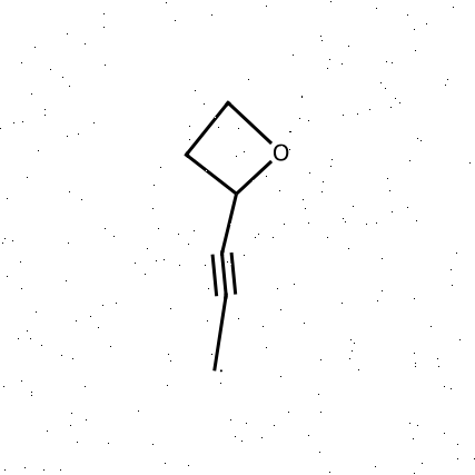 [CH2]C#CC1CCO1